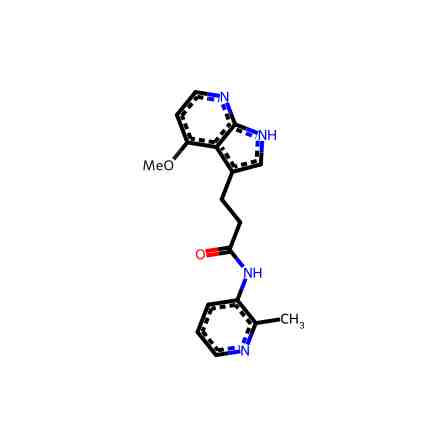 COc1ccnc2[nH]cc(CCC(=O)Nc3cccnc3C)c12